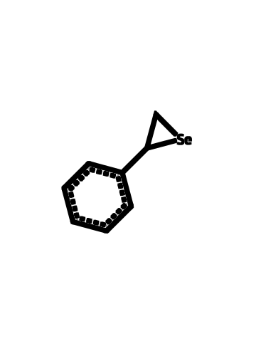 c1ccc(C2C[Se]2)cc1